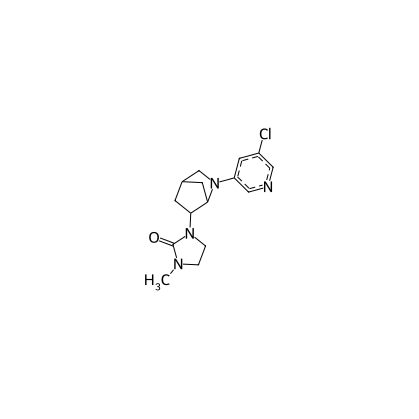 CN1CCN(C2CC3CC2N(c2cncc(Cl)c2)C3)C1=O